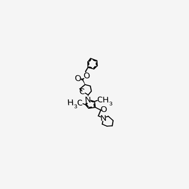 Cc1cc(C(=O)CN2CCCCC2)c(C)n1[C@H]1CC[C@H](C(=O)OCc2ccccc2)CC1